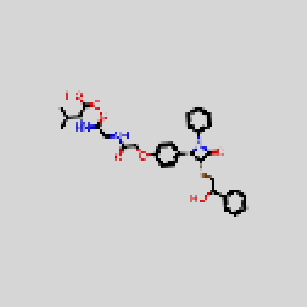 CC(C)[C@@H](NC(=O)CNC(=O)COc1ccc([C@@H]2[C@@H](SCC(O)c3ccccc3)C(=O)N2c2ccccc2)cc1)C(=O)O